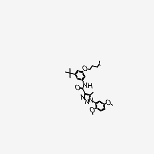 COc1ccc(OC)c(-n2nnc(C(=O)Nc3cc(OCCCI)cc(C(C)(C)C)c3)c2C)c1